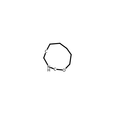 [CH]1NCCCCCCCO1